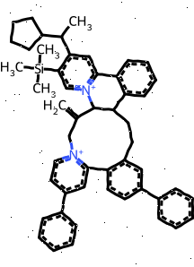 C=C1C[n+]2ccc(-c3ccccc3)cc2-c2ccc(-c3ccccc3)cc2CCC2c3ccccc3-c3cc(C(C)C4CCCC4)c([Si](C)(C)C)c[n+]3C12